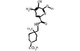 CCOc1nc(C(=O)NCC2(C)CCN(C(=O)O)CC2)cc(N)c1C#N